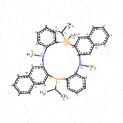 CC(C)P1c2ccccc2N(C)c2cc3ccccc3cc2[PH](C)(C(C)C)c2ccccc2N(C)c2cc3ccccc3cc21